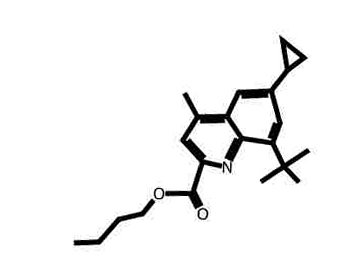 CCCCOC(=O)c1cc(C)c2cc(C3CC3)cc(C(C)(C)C)c2n1